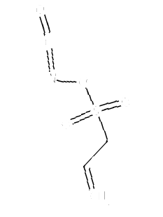 C=CCS(=O)(=O)ON=C=O